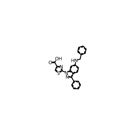 O=C(O)c1csc(-n2nc(-c3ccccc3)c3ccc(NCc4ccccc4)cc32)n1